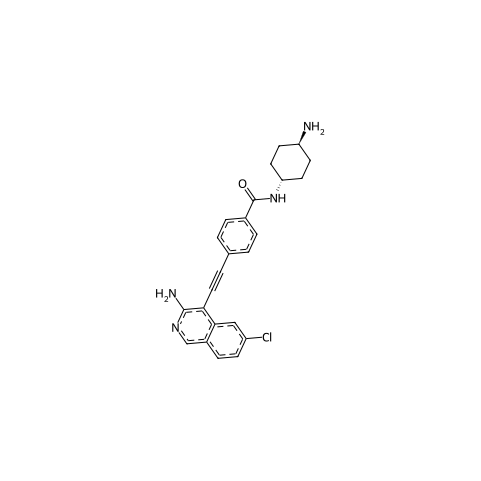 Nc1ncc2ccc(Cl)cc2c1C#Cc1ccc(C(=O)N[C@H]2CC[C@H](N)CC2)cc1